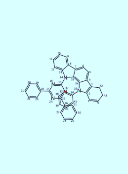 C1=Cc2c(c3ccc4c5ccccc5n(-c5nc(-c6ccccc6)nc(-c6ccccc6)n5)c4c3n2-c2ccccc2)CC1